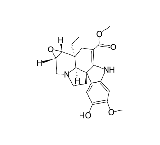 CC[C@@]12CC(C(=O)OC)=C3Nc4cc(OC)c(O)cc4[C@@]34CCN(C[C@@H]3O[C@@H]31)[C@@H]24